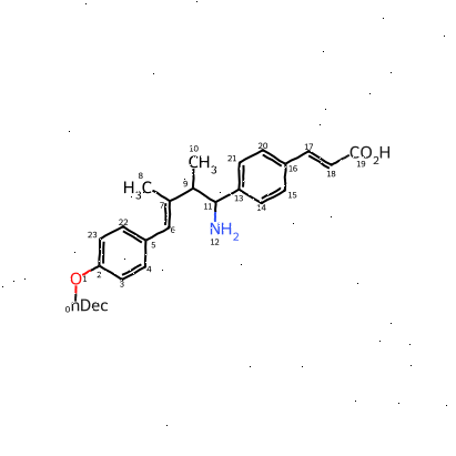 CCCCCCCCCCOc1ccc(C=C(C)C(C)C(N)c2ccc(C=CC(=O)O)cc2)cc1